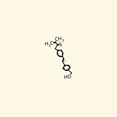 C=C(C)C(=S)Cc1ccc(/C=C/c2ccc(CO)cc2)cc1